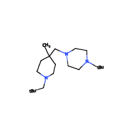 CC(C)(C)CN1CCC(C)(CN2CCN(C(C)(C)C)CC2)CC1